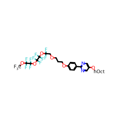 CCCCCCCCOc1cnc(-c2ccc(OCCCOCC(F)(F)OC(F)(F)C(F)(F)OC(F)(F)C(F)(F)OC(F)(F)F)cc2)nc1